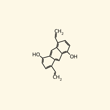 C=Cc1ccc(O)c2cc3c(C=C)ccc(O)c3cc12